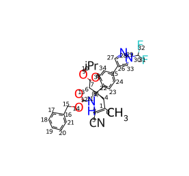 CC(=CC#N)C[C@](CC(=O)OC(C)C)(NC(=O)OCc1ccccc1)c1ccc(-c2cnn(C(F)F)c2)cc1